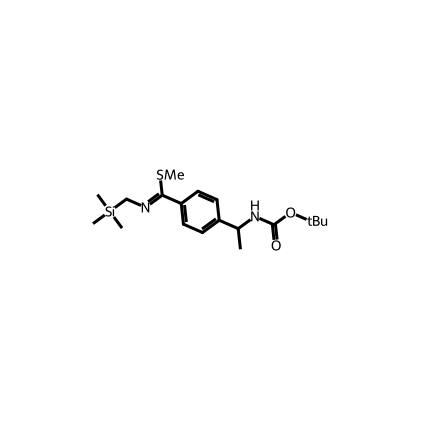 CS/C(=N\C[Si](C)(C)C)c1ccc(C(C)NC(=O)OC(C)(C)C)cc1